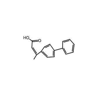 C/C(=C/C(=O)O)c1ccc(-c2ccccc2)cc1